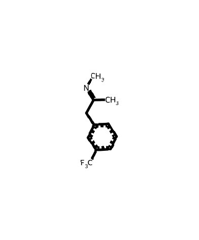 C/N=C(\C)Cc1cccc(C(F)(F)F)c1